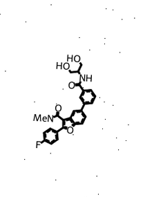 CNC(=O)c1c(-c2ccc(F)cc2)oc2ccc(-c3cccc(C(=O)NC(CO)CO)c3)cc12